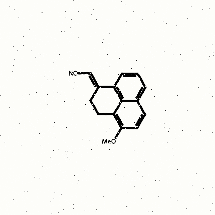 COc1ccc2cccc3c2c1CCC3=CC#N